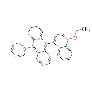 CCOc1ccc(-c2c3ccccc3c(-c3ccccc3)c3ccccc23)c2ccccc12